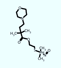 CC(C)(CCN1CCOCC1)C(=O)OCCS[PH](C)(C)N=O